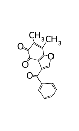 CC1=C(C)c2occ(C(=O)c3ccccc3)c2C(=O)C1=O